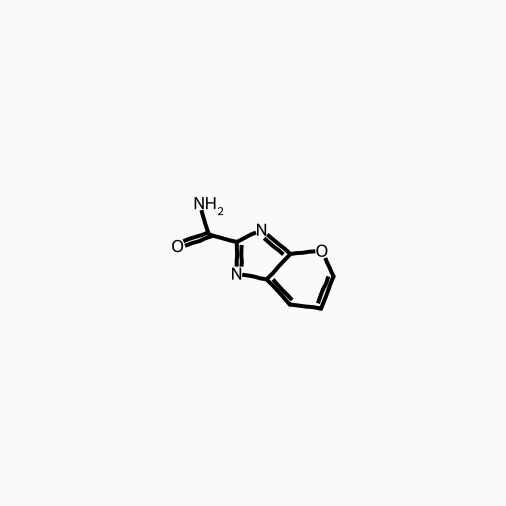 NC(=O)c1nc2cccoc-2n1